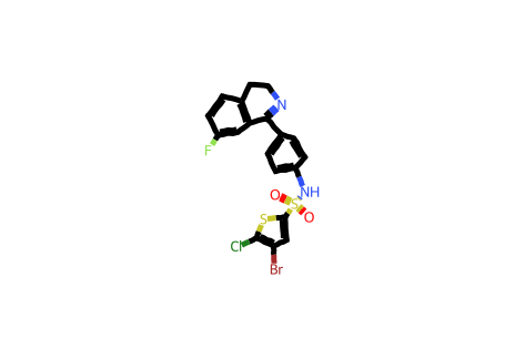 O=S(=O)(Nc1ccc(C2=NCCc3ccc(F)cc32)cc1)c1cc(Br)c(Cl)s1